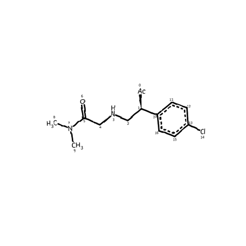 CC(=O)[C@H](CNCC(=O)N(C)C)c1ccc(Cl)cc1